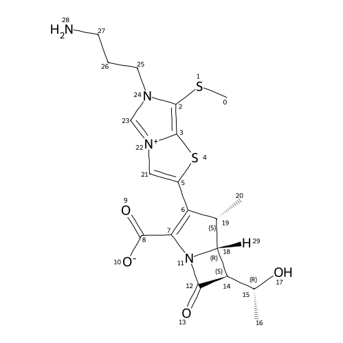 CSc1c2sc(C3=C(C(=O)[O-])N4C(=O)[C@H]([C@@H](C)O)[C@H]4[C@H]3C)c[n+]2cn1CCCN